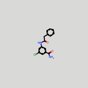 NC(=O)c1cc(Cl)cc(NC(=O)Cc2ccccc2)c1